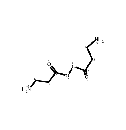 NCCC(=O)OOC(=O)CCN